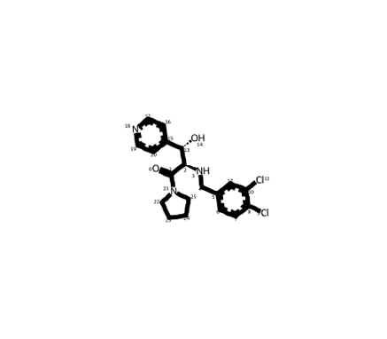 O=C([C@H](NCc1ccc(Cl)c(Cl)c1)[C@@H](O)c1ccncc1)N1CCCC1